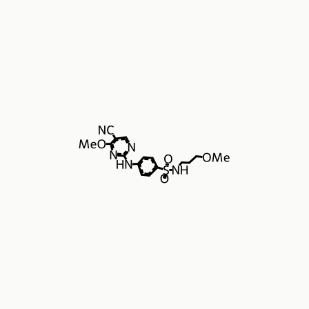 COCCCNS(=O)(=O)c1ccc(Nc2ncc(C#N)c(OC)n2)cc1